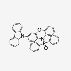 O=P(c1ccccc1)(c1ccccc1)N1c2ccccc2Oc2cc(-n3c4ccccc4c4ccccc43)ccc21